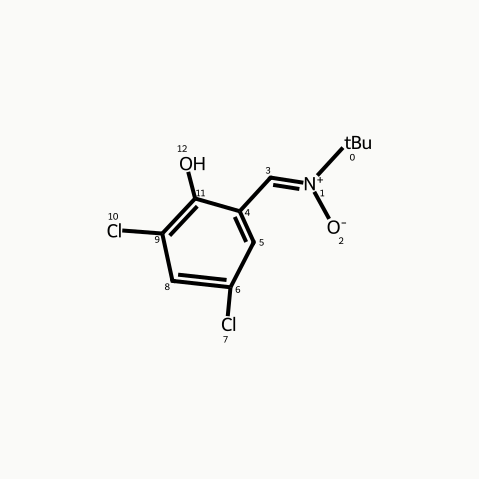 CC(C)(C)[N+]([O-])=Cc1cc(Cl)cc(Cl)c1O